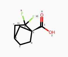 O=C(O)[C@]12CCC(CC1(F)F)C2